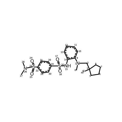 CN(CC1(F)CCCC1)c1ccccc1NS(=O)(=O)c1ccc(S(=O)(=O)N(C)C)cc1